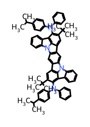 CC(C)c1ccc(N(c2ccccc2)c2c(C(C)(C)C)cc3c4cc5c(cc4n4c6ccccc6c2c34)c2cc(C(C)(C)C)c(N(c3ccccc3)c3ccc(C(C)C)cc3)c3c4ccccc4n5c23)cc1